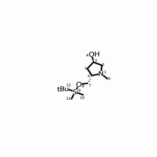 CN1C[C@H](O)C[C@H]1CO[Si](C)(C)C(C)(C)C